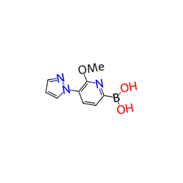 COc1nc(B(O)O)ccc1-n1cccn1